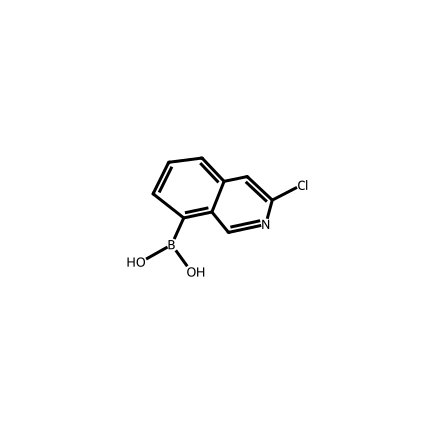 OB(O)c1cccc2cc(Cl)ncc12